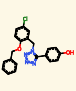 Oc1ccc(-c2nnnn2Cc2cc(Cl)ccc2OCc2ccccc2)cc1